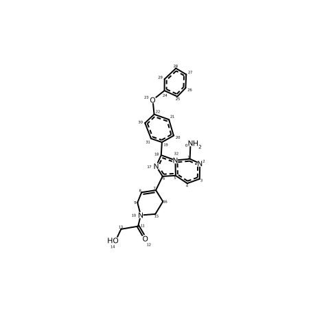 Nc1nccc2c(C3=CCN(C(=O)CO)CC3)nc(-c3ccc(Oc4ccccc4)cc3)n12